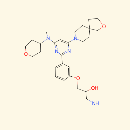 CNCC(O)COc1cccc(-c2nc(N3CCC4(CCOC4)CC3)cc(N(C)C3CCOCC3)n2)c1